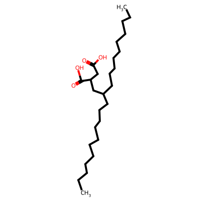 CCCCCCCCCCCC(CCCCCCCCCC)CC(CC(=O)O)C(=O)O